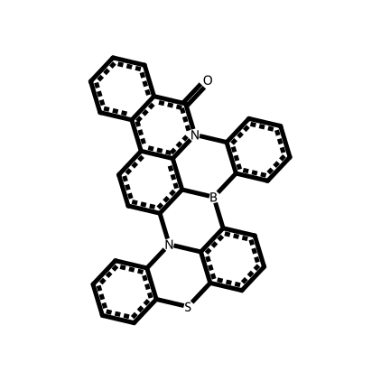 O=c1c2ccccc2c2ccc3c4c2n1-c1ccccc1B4c1cccc2c1N3c1ccccc1S2